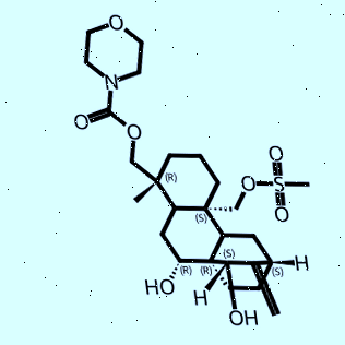 C=C1[C@H]2CC[C@]3(C(C2)[C@]2(COS(C)(=O)=O)CCC[C@@](C)(COC(=O)N4CCOCC4)C2C[C@H]3O)[C@H]1O